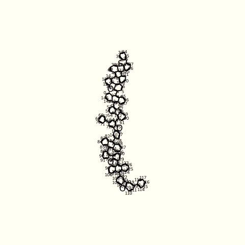 C1=CC2C(c3cccc4c3oc3cccc(-c5c6ccccc6c(-c6cccc7c6sc6ccccc67)c6ccccc56)c34)=c3ccccc3=C(c3cccc4c3sc3cccc(-c5cc(-c6ccccc6)cc6c5oc5ccc(-c7c8ccccc8c(-c8cccc9oc%10c(-c%11c%12ccccc%12c(-c%12ccc%13oc%14ccc(-c%15ccccc%15)cc%14c%13c%12)c%12ccccc%11%12)cccc%10c89)c8ccccc78)cc56)c34)C2C=C1